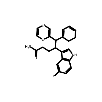 NC(=O)CCC(c1c[nH]c2ccc(F)cc12)C(C1=CC=CCC1)C1=COC=CO1